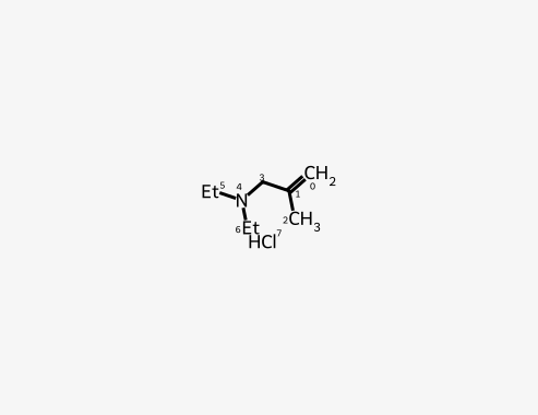 C=C(C)CN(CC)CC.Cl